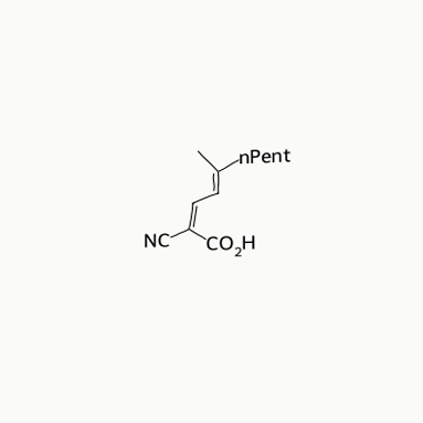 CCCCCC(C)=CC=C(C#N)C(=O)O